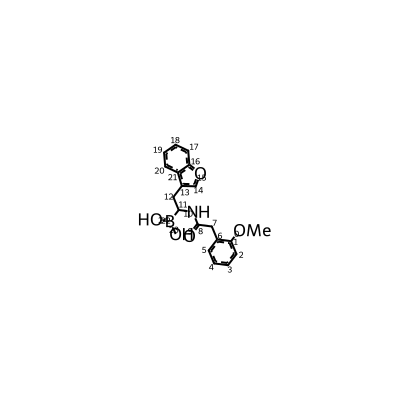 COc1ccccc1CC(=O)NC(Cc1coc2ccccc12)B(O)O